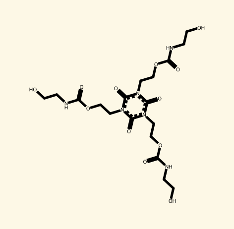 O=C(NCCO)OCCn1c(=O)n(CCOC(=O)NCCO)c(=O)n(CCOC(=O)NCCO)c1=O